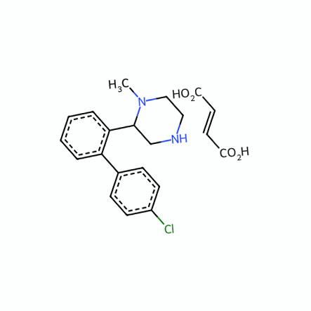 CN1CCNCC1c1ccccc1-c1ccc(Cl)cc1.O=C(O)/C=C/C(=O)O